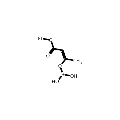 CCOC(=O)/C=C(/C)OB(O)O